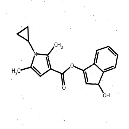 Cc1cc(C(=O)OC2=CC(O)c3ccccc32)c(C)n1C1CC1